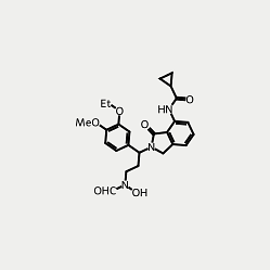 CCOc1cc(C(CCN(O)C=O)N2Cc3cccc(NC(=O)C4CC4)c3C2=O)ccc1OC